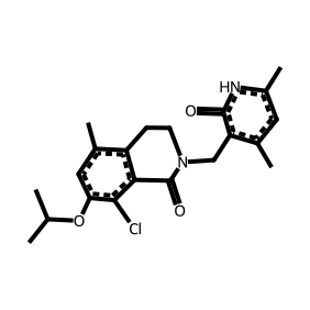 Cc1cc(C)c(CN2CCc3c(C)cc(OC(C)C)c(Cl)c3C2=O)c(=O)[nH]1